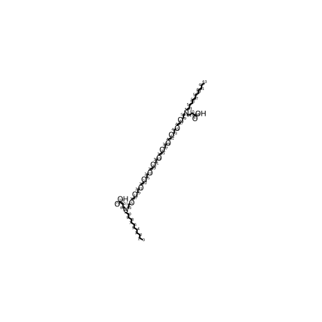 CCCCCCCCCCCCN(CCOCCOCCOCCOCCOCCOCCOCCOCCOCCOCCOCCOCCN(CCCCCCCCCCCC)CCC(=O)O)CCC(=O)O